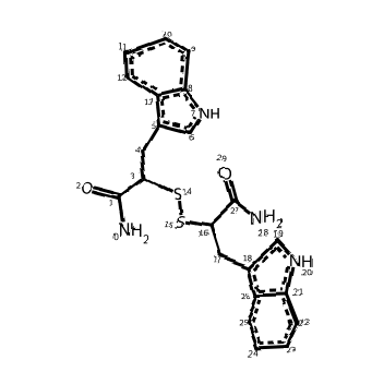 NC(=O)C(Cc1c[nH]c2ccccc12)SSC(Cc1c[nH]c2ccccc12)C(N)=O